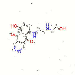 O=C1c2cnncc2C(=O)c2c(NCCNCCO)ccc(O)c21